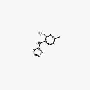 Cc1nc(F)ccc1NC1=NN=C[N]1